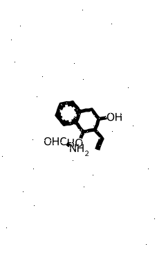 C=CC1C(O)Cc2ccccc2C1O.NC=O